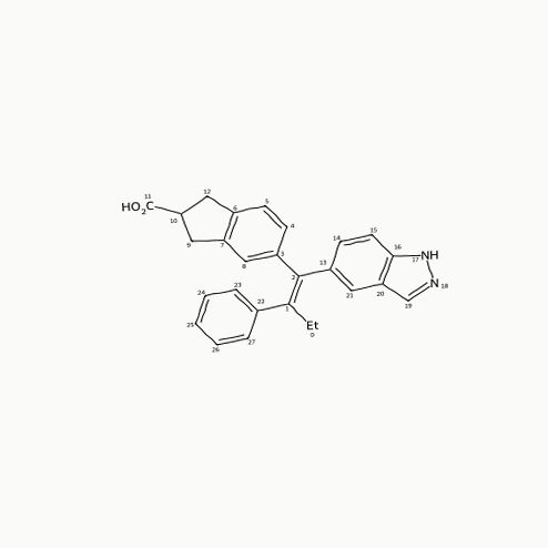 CCC(=C(c1ccc2c(c1)CC(C(=O)O)C2)c1ccc2[nH]ncc2c1)c1ccccc1